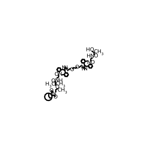 CC(CCN1C(=O)C2=C(C1=O)C1CCCCCCCC2CC1)OCC(C)(C)C(=O)NCCC(=O)N1Cc2ccccc2-c2c(nnn2CCOCCOCCn2nnc3c2-c2ccccc2CN(C(=O)CCNC(=O)C(C)CO)c2ccccc2-3)-c2ccccc21